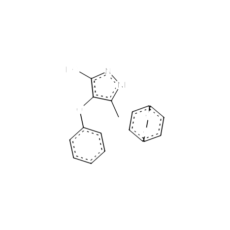 Cc1[nH]nc(O)c1Oc1ccccc1.c1cc2ccc1CO2